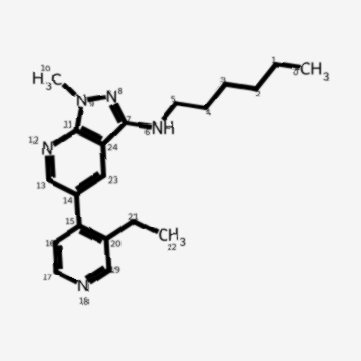 CCCCCCNc1nn(C)c2ncc(-c3ccncc3CC)cc12